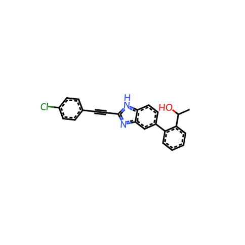 CC(O)c1ccccc1-c1ccc2[nH]c(C#Cc3ccc(Cl)cc3)nc2c1